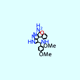 COc1ccc(C2Nc3ccccc3-c3c(C(N)=O)nnc4[nH]cc2c34)c(OC)c1